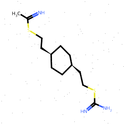 CC(=N)SCC[C@H]1CC[C@@H](CCSC(=N)N)CC1